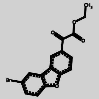 CCOC(=O)C(=O)c1ccc2oc3ccc(Br)cc3c2c1